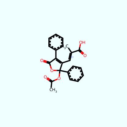 CC(=O)OC1(c2ccccc2)OC(=O)C(c2ccccc2)=C1/C=C(\C)C(=O)O